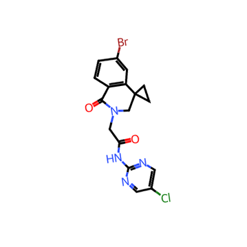 O=C(CN1CC2(CC2)c2cc(Br)ccc2C1=O)Nc1ncc(Cl)cn1